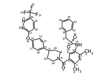 Cc1cc(C)c(C(=O)N2CCC(c3ccc(Oc4ccc(C(F)(F)F)nn4)cc3)CC2)cc1NS(=O)(=O)Cc1ccccc1